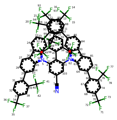 N#Cc1cc(-n2c3cc(-c4ccc(C(F)(F)F)cc4C(F)(F)F)ccc3c3ccc(-c4ccc(C(F)(F)F)cc4C(F)(F)F)cc32)c(-c2c(C(F)(F)F)cccc2C(F)(F)F)c(-n2c3cc(-c4ccc(C(F)(F)F)cc4C(F)(F)F)ccc3c3ccc(-c4ccc(C(F)(F)F)cc4C(F)(F)F)cc32)c1